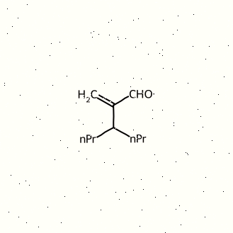 C=C([C]=O)C(CCC)CCC